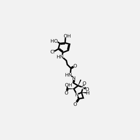 C[C@]1(/C=N/NC(=O)CCNc2ccc(O)c(O)c2Cl)[C@H](C(=O)O)N2C(=O)C[C@H]2S1(=O)=O